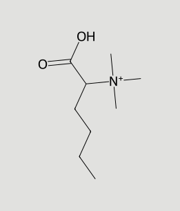 CCCCC(C(=O)O)[N+](C)(C)C